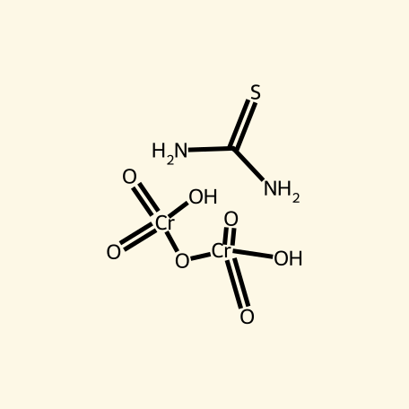 NC(N)=S.[O]=[Cr](=[O])([OH])[O][Cr](=[O])(=[O])[OH]